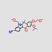 COCCOc1cc2c(cc1OC(C)C)C(=O)c1c(n(CCOC)c3cc(C#N)ccc13)C2(C)C